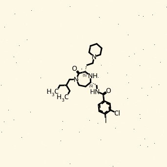 CCC(CC)CN1CC[C@@H](CNC(=O)c2ccc(I)c(Cl)c2)N[C@@H](CCN2CCCCC2)C1=O